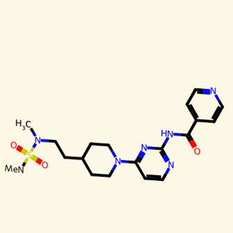 CNS(=O)(=O)N(C)CCC1CCN(c2ccnc(NC(=O)c3ccncc3)n2)CC1